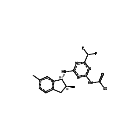 CCC(=O)Nc1nc(N[C@H]2c3cc(C)ccc3C[C@@H]2C)nc(C(F)F)n1